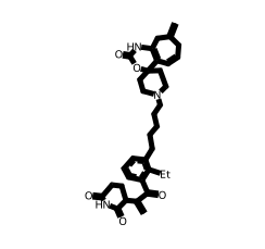 C=C1CC=CC2=C(C1)NC(=O)OC21CCN(CCCCCc2cccc(C(=O)C(=C)C3CCC(=O)NC3=O)c2CC)CC1